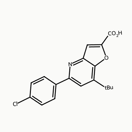 CC(C)(C)c1cc(-c2ccc(Cl)cc2)nc2cc(C(=O)O)oc12